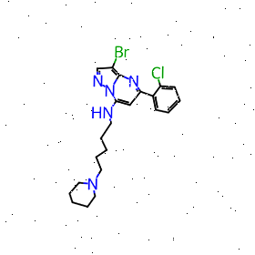 Clc1ccccc1-c1cc(NCCCCCN2CCCCC2)n2ncc(Br)c2n1